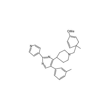 COC1=CCC(C)(CN2CCC(c3nc(-c4ccncc4)ncc3-c3cccc(C)c3)CC2)C=C1